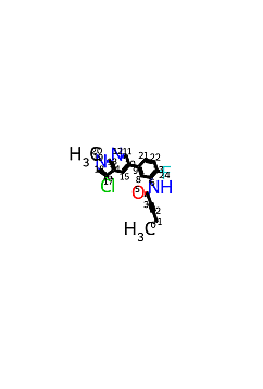 CCC#CC(=O)Nc1cc(-c2cnc3c(c2)c(Cl)cn3C)ccc1F